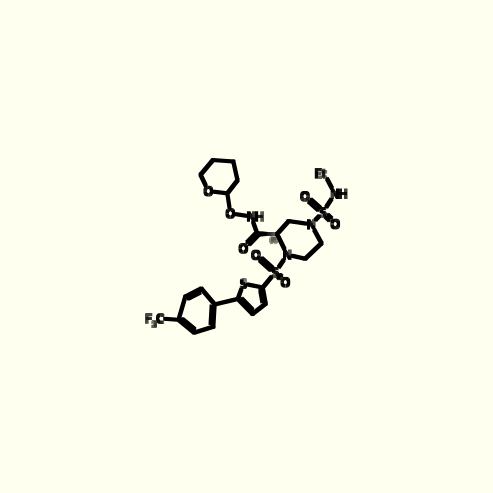 CCNS(=O)(=O)N1CCN(S(=O)(=O)c2ccc(-c3ccc(C(F)(F)F)cc3)s2)[C@@H](C(=O)NOC2CCCCO2)C1